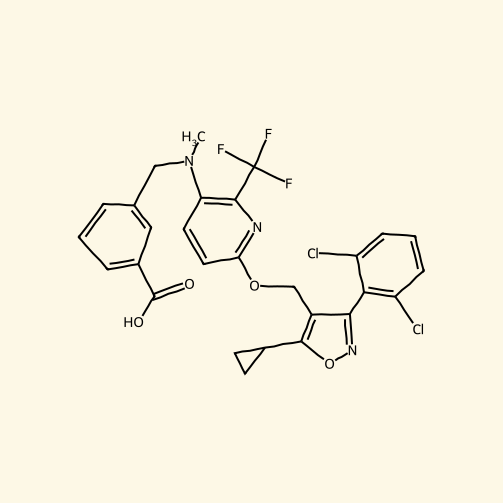 CN(Cc1cccc(C(=O)O)c1)c1ccc(OCc2c(-c3c(Cl)cccc3Cl)noc2C2CC2)nc1C(F)(F)F